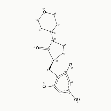 O=C1[C@H](Cc2c(Cl)cc(O)cc2Cl)CCN1N1CCOCC1